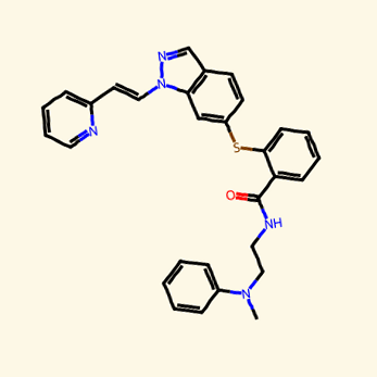 CN(CCNC(=O)c1ccccc1Sc1ccc2cnn(C=Cc3ccccn3)c2c1)c1ccccc1